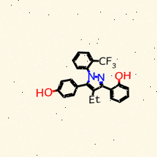 CCc1c(-c2ccccc2O)nn(-c2ccccc2C(F)(F)F)c1-c1ccc(O)cc1